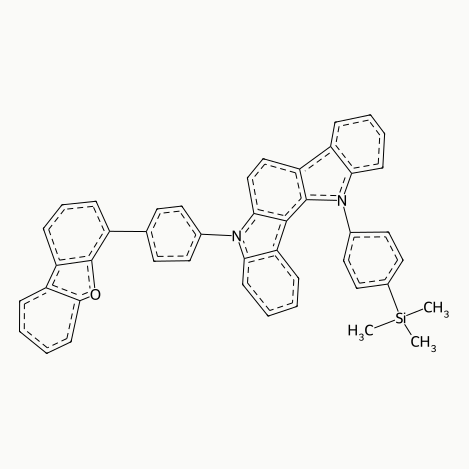 C[Si](C)(C)c1ccc(-n2c3ccccc3c3ccc4c(c5ccccc5n4-c4ccc(-c5cccc6c5oc5ccccc56)cc4)c32)cc1